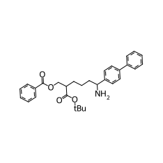 CC(C)(C)OC(=O)C(CCCC(N)c1ccc(-c2ccccc2)cc1)COC(=O)c1ccccc1